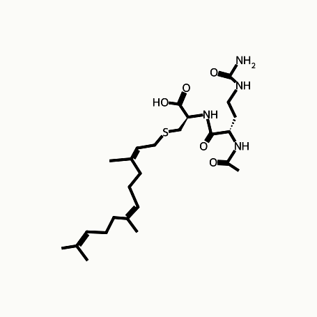 CC(=O)N[C@@H](CCNC(N)=O)C(=O)N[C@@H](CSCC=C(C)CCC=C(C)CCC=C(C)C)C(=O)O